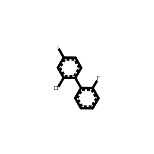 Fc1ccccc1-c1ccc(I)cc1Cl